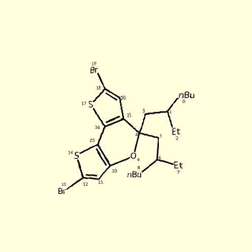 CCCCC(CC)CC1(CC(CC)CCCC)Oc2cc(Br)sc2-c2sc(Br)cc21